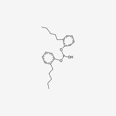 CCCCCc1ccccc1OP(O)Oc1ccccc1CCCCC